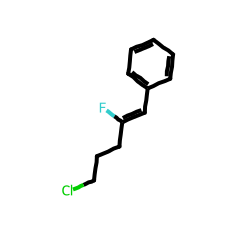 FC(=Cc1ccccc1)CCCCl